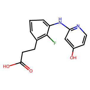 O=C(O)CCc1cccc(Nc2cc(O)ccn2)c1F